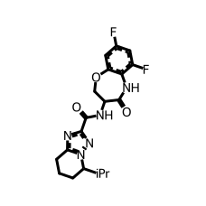 CC(C)C1CCCc2nc(C(=O)NC3COc4cc(F)cc(F)c4NC3=O)nn21